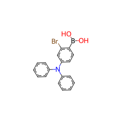 OB(O)c1ccc(N(c2ccccc2)c2ccccc2)cc1Br